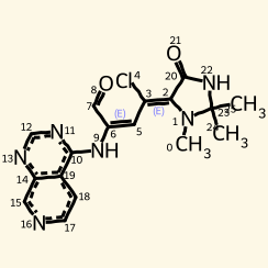 CN1/C(=C(Cl)\C=C(/C=O)Nc2ncnc3cnccc23)C(=O)NC1(C)C